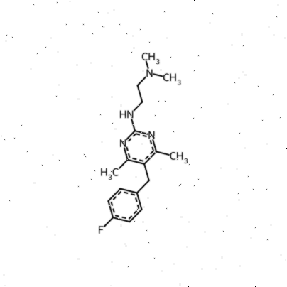 Cc1nc(NCCN(C)C)nc(C)c1Cc1ccc(F)cc1